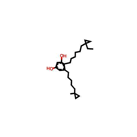 CCC1(CCCCCCc2c(O)cc(O)cc2CCCCCC2(C)CC2)CC1